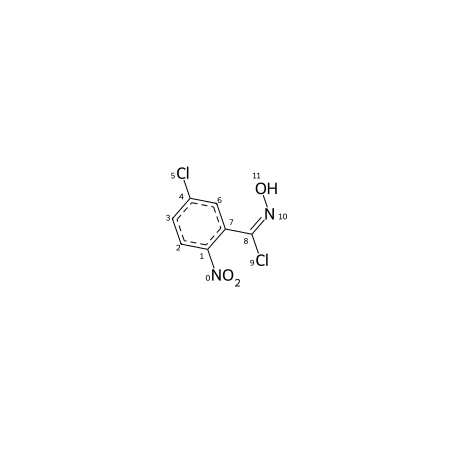 O=[N+]([O-])c1ccc(Cl)cc1/C(Cl)=N\O